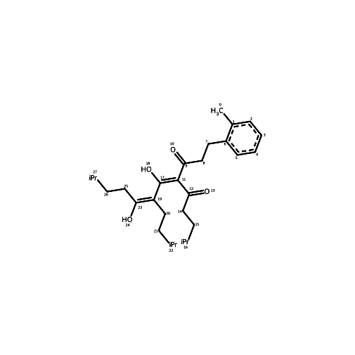 Cc1ccccc1CCC(=O)/C(C(=O)CCC(C)C)=C(O)/C(CCC(C)C)=C(/O)CCC(C)C